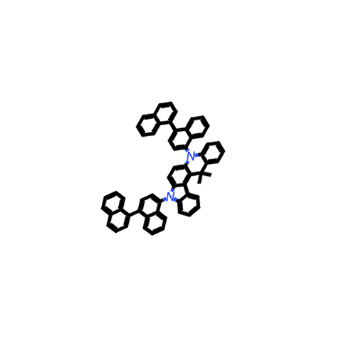 CC1(C)c2ccccc2N(c2ccc(-c3cccc4ccccc34)c3ccccc23)c2ccc3c(c21)c1ccccc1n3-c1ccc(-c2cccc3ccccc23)c2ccccc12